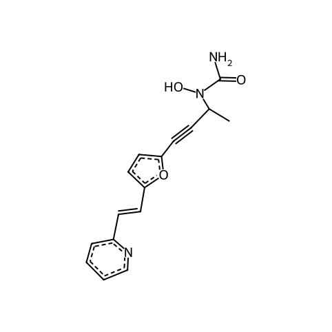 CC(C#Cc1ccc(C=Cc2ccccn2)o1)N(O)C(N)=O